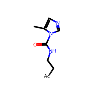 CC(=O)CCNC(=O)n1cncc1C